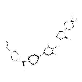 O=C(c1ccc(-c2cc(Cl)c(C[C@@H]3CCN(C4CCC(F)(F)CC4)C3=O)c(Cl)c2)cc1)N1CCN(CCF)CC1